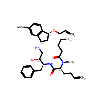 C=CCC[C@@H](C(=O)N[C@@H](Cc1ccccc1)[C@@H](O)CN[C@H]1C[C@@H](OCC=C)c2ccc(OC)cc21)N(C)C(=O)CCCC(F)(F)F